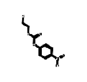 O=C(OCCCl)Oc1ccc([N+](=O)[O-])cc1